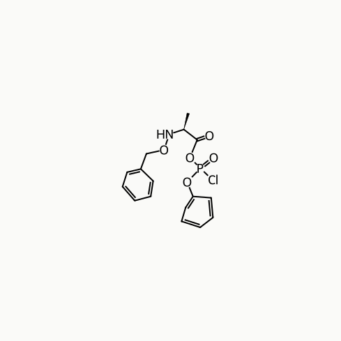 C[C@H](NOCc1ccccc1)C(=O)OP(=O)(Cl)Oc1ccccc1